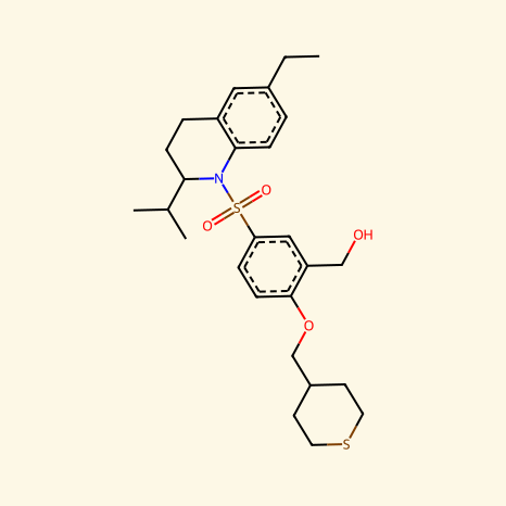 CCc1ccc2c(c1)CCC(C(C)C)N2S(=O)(=O)c1ccc(OCC2CCSCC2)c(CO)c1